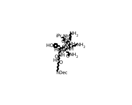 CCCCCCCCCCCCCCCC(=O)NCC(=O)NCC(=O)N[C@@H](Cc1ccc(O)cc1)C(=O)N[C@@H](CCC(N)=O)C(=O)N[C@@H](CCCCN)C(=O)N[C@@H](CCCCN)C(=O)NC(=O)[C@@H](N)CC(C)C